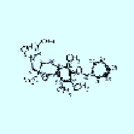 CCN(CCO)CC1(C)CCc2c(C)c(OCc3ccccc3)c(C)c(C)c2O1